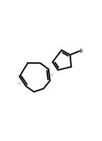 C1=C\CC/C=C\CC/1.[Ir][C]1=CC=CC1